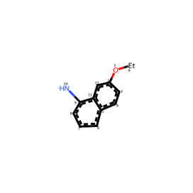 CCOc1ccc2cccc([NH])c2c1